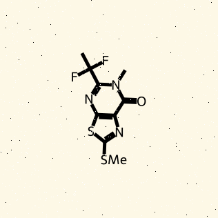 CSc1nc2c(=O)n(C)c(C(C)(F)F)nc2s1